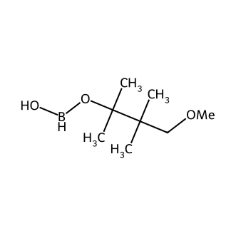 COCC(C)(C)C(C)(C)OBO